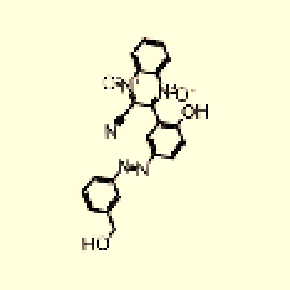 N#Cc1c(-c2cc(N=Nc3cccc(CO)c3)ccc2O)[n+]([O-])c2ccccc2[n+]1[O-]